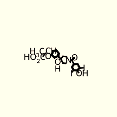 CC(C)(Oc1cccc(C2(O)CCN(C(=O)c3cc(I)c(O)c(I)c3)CC2)c1)C(=O)O